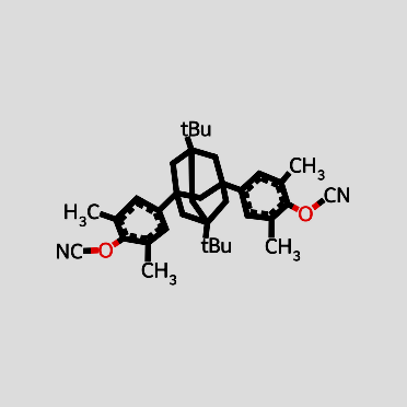 Cc1cc(C23CC4(c5cc(C)c(OC#N)c(C)c5)CC(C(C)(C)C)(C2)CC(C(C)(C)C)(C3)C4)cc(C)c1OC#N